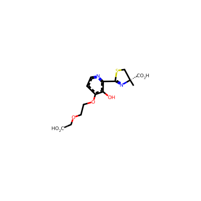 C[C@]1(C(=O)O)CSC(c2nccc(OCCOCC(=O)O)c2O)=N1